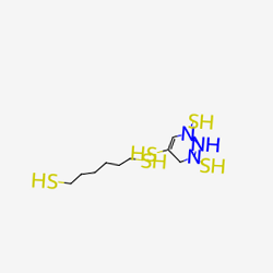 SC1=CN(S)NN(S)C1.SCCCCCCS